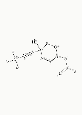 CC(=O)OC1C=CC(O)(C#C[Si](C)(C)C)CO1